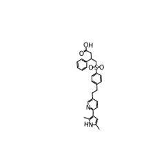 Cc1cc(-c2ccc(CCc3ccc(S(=O)(=O)CC(CC(=O)O)c4ccccc4)cc3)cn2)c(C)[nH]1